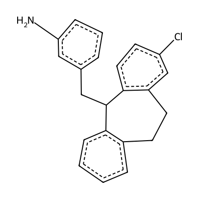 Nc1cccc(CC2c3ccccc3CCc3cc(Cl)ccc32)c1